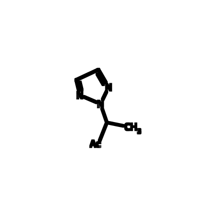 CC(=O)C(C)n1nccn1